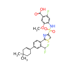 COc1cc(C(=O)O)c(F)cc1NS(=O)(=O)c1csc(-c2ccc(C3=CCC(C)(C)CC3)cc2C(F)F)n1